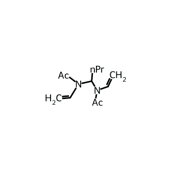 C=CN(C(C)=O)C(CCC)N(C=C)C(C)=O